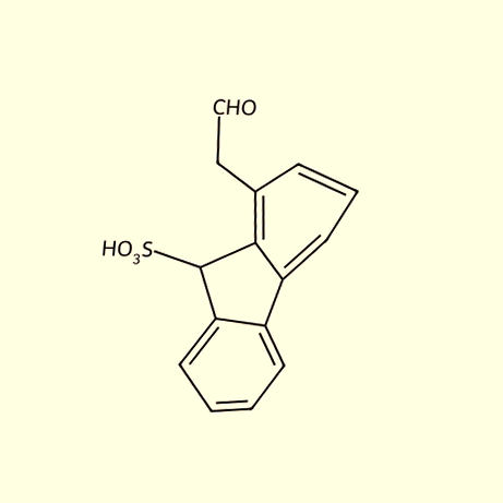 O=CCc1cccc2c1C(S(=O)(=O)O)c1ccccc1-2